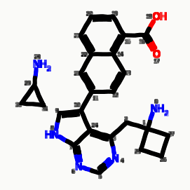 NC1(Cc2ncnc3[nH]cc(-c4ccc5c(C(=O)O)cccc5c4)c23)CCC1.NC1CC1